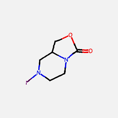 O=C1OCC2CN(I)CCN12